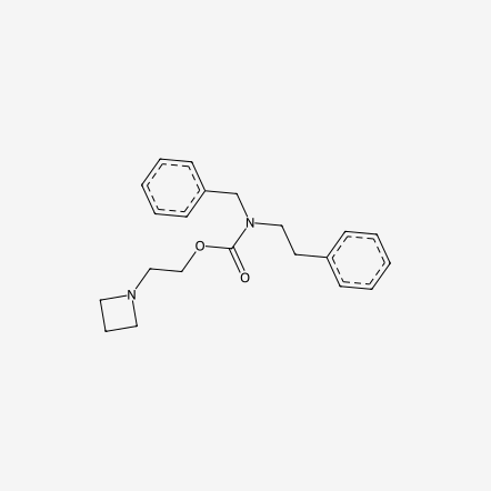 O=C(OCCN1CCC1)N(CCc1ccccc1)Cc1ccccc1